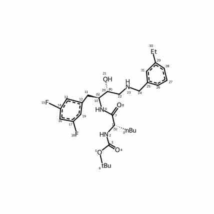 CCCC[C@H](NC(=O)OC(C)(C)C)C(=O)N[C@@H](Cc1cc(F)cc(F)c1)[C@H](O)CNCc1cccc(CC)c1